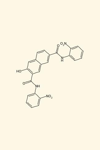 O=C(Nc1ccccc1[N+](=O)[O-])c1ccc2cc(O)c(C(=O)Nc3ccccc3[N+](=O)[O-])cc2c1